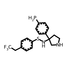 FC(F)(F)Cc1ccc(SNC2(c3ccc(P)cc3)CCNC2)cc1